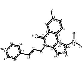 Cc1ccc2c(c1)c(=O)n(CC=Cc1ccncc1)c1nnc(N(C)C)n21